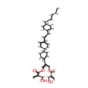 C=C(CO)C(=O)OCC(COC(=O)C(=C)CO)C1CCC(C2CCC(CCC3CCC(CCCCC)CC3)CC2)CC1